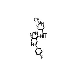 CC(Nc1ncnc2cnc(-c3ccc(F)cc3)cc12)c1cnc(C(F)(F)F)nc1